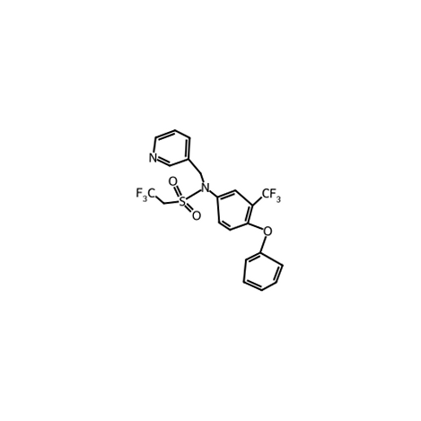 O=S(=O)(CC(F)(F)F)N(Cc1cccnc1)c1ccc(Oc2ccccc2)c(C(F)(F)F)c1